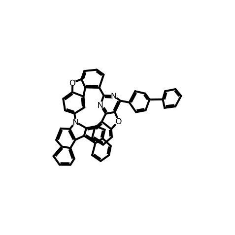 c1ccc(-c2ccc(-c3nc(-c4cccc5oc6ccc(-n7c8ccc9ccccc9c8c8c9ccccc9ccc87)cc6c45)nc4c3oc3ccccc34)cc2)cc1